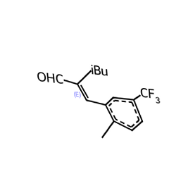 CCC(C)/C(C=O)=C\c1cc(C(F)(F)F)ccc1C